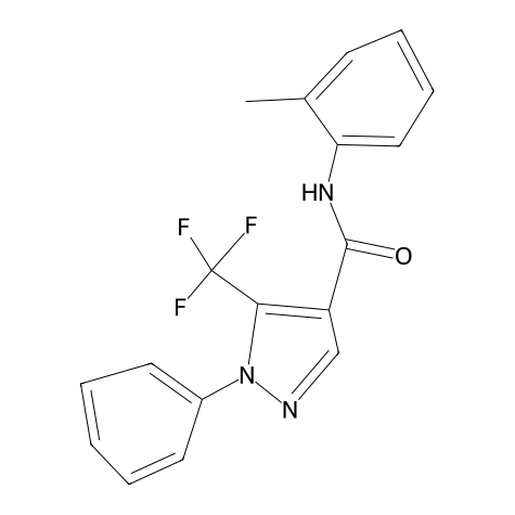 Cc1ccccc1NC(=O)c1cnn(-c2ccccc2)c1C(F)(F)F